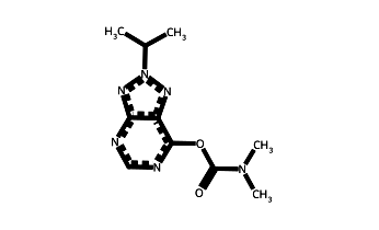 CC(C)n1nc2ncnc(OC(=O)N(C)C)c2n1